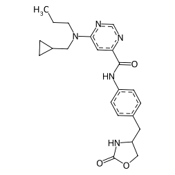 CCCN(CC1CC1)c1cc(C(=O)Nc2ccc(CC3COC(=O)N3)cc2)ncn1